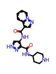 O=C(NC1CCNCC1)c1n[nH]cc1NC(=O)c1cnn2ccccc12